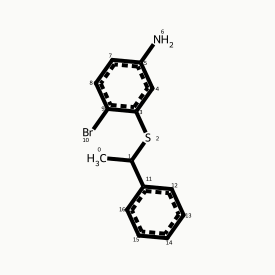 CC(Sc1cc(N)ccc1Br)c1ccccc1